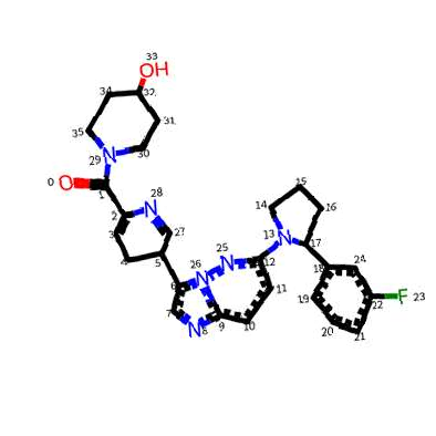 O=C(C1=CCC(c2cnc3ccc(N4CCCC4c4cccc(F)c4)nn23)C=N1)N1CCC(O)CC1